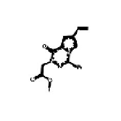 C=Cc1cc2c(=O)n(CC(=O)OI)nc(C(C)C)n2c1